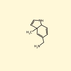 CC12C=CNC1C=CC(CN)=C2